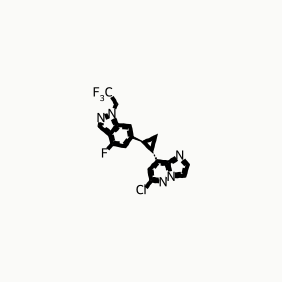 Fc1cc([C@H]2C[C@@H]2c2cc(Cl)nn3ccnc23)cc2c1cnn2CC(F)(F)F